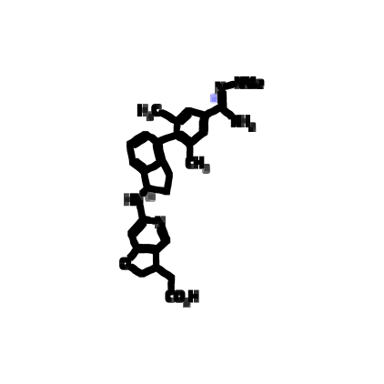 CN/N=C(\N)c1cc(C)c(-c2cccc3c2CC[C@H]3Nc2cc3c(cn2)C(CC(=O)O)CO3)c(C)c1